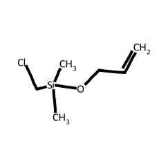 C=CCO[Si](C)(C)CCl